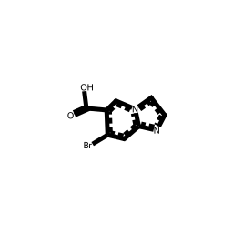 O=C(O)c1cn2ccnc2cc1Br